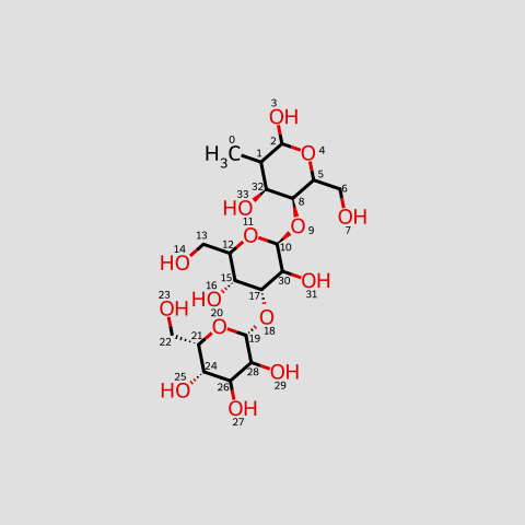 CC1C(O)OC(CO)[C@@H](O[C@@H]2OC(CO)[C@@H](O)[C@@H](O[C@H]3O[C@@H](CO)[C@@H](O)C(O)C3O)C2O)[C@H]1O